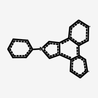 [c]1ccc2c(c1)c1c[c]ccc1c1cn(-c3ccccc3)cc21